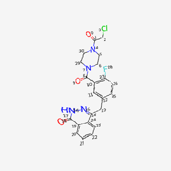 O=C(CCl)N1CCN(C(=O)c2cc(Cc3n[nH]c(=O)c4ccccc34)ccc2F)CC1